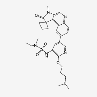 CCN(C)S(=O)(=O)Nc1cc(-c2ccc3ncc4c(c3c2)C2(CCC2)C(=O)N4C)cnc1OCCCN(C)C